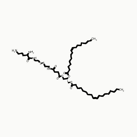 CCCCCCCC/C=C\CCCCCCCC(=O)OC[C@H](COC(=O)CCC(=O)NCCSSCCNC(=O)C(N)CCCN)OC(=O)CCCCCCC/C=C\CCCCCCCC